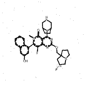 Cn1c(-c2cc(O)cc3ccccc23)c(F)c2nc(OCC34CCCN3C[C@H](F)C4)nc(N3C4CCC3CNC4)c2c1=O